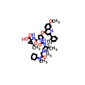 C=C[C@@H]1C[C@]1(NC(=O)[C@@H]1C[C@@H](Oc2cc(-c3ccccc3)nc3cc(OC)ccc23)CN1C(=O)NC(CNCC(=O)N(C)C1CCCCC1)C(C)(C)C)C(=O)O